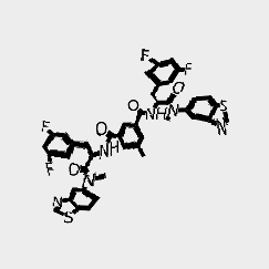 Cc1cc(C(=O)NC(Cc2cc(F)cc(F)c2)C(=O)N(C)c2ccc3scnc3c2)cc(C(=O)N[C@@H](Cc2cc(F)cc(F)c2)C(=O)N(C)c2ccc3scnc3c2)c1